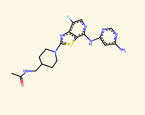 CC(=O)NCC1CCN(c2nc3c(F)cnc(Nc4cc(N)ncn4)c3s2)CC1